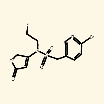 O=C1C=C(N(CCF)S(=O)(=O)Cc2ccc(Br)nc2)CO1